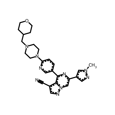 Cn1cc(-c2cn3ncc(C#N)c3c(-c3ccc(N4CCN(CC5CCOCC5)CC4)nc3)n2)cn1